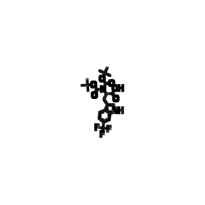 CC(C)(C)OC(=O)N(C(=O)OC(C)(C)C)C(Cc1c[nH]c2cc(C(F)(F)F)ccc12)C(=O)O